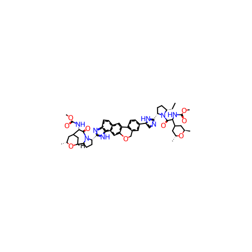 CC[C@H]1CC[C@@H](c2ncc(-c3ccc4c(c3)COc3cc5c(ccc6nc([C@@H]7CC[C@H]8N7C(=O)[C@@H](NC(=O)OC)C7C[C@@H](C)O[C@]8(C)C7)[nH]c65)cc3-4)[nH]2)N1C(=O)C(NC(=O)OC)C1C[C@@H](C)O[C@H](C)C1